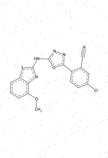 COc1cccc2sc(Nc3nnc(-c4ccc(Cl)cc4C#N)o3)nc12